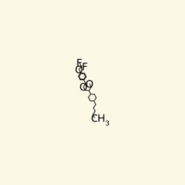 CCCCCC1CCC(C2COC(c3ccc(OC(F)F)cc3)OC2)CC1